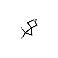 FC1(F)CC12CNC2